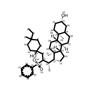 CCC1(C)CCC(O)(CC([C@@H](C)[C@H]2CC[C@H]3[C@@H]4CCC5C[C@@H](O)CC[C@]5(C)[C@H]4CC[C@]23C)S(=O)(=O)c2ccccc2)CC1